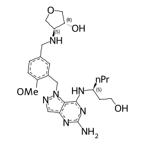 CCC[C@@H](CCO)Nc1nc(N)nc2cnn(Cc3cc(CN[C@H]4COC[C@@H]4O)ccc3OC)c12